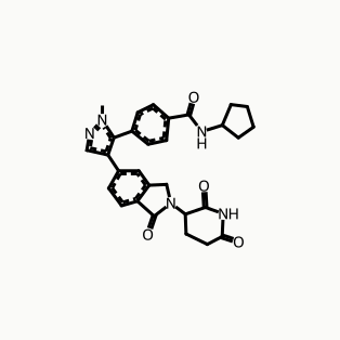 Cn1ncc(-c2ccc3c(c2)CN(C2CCC(=O)NC2=O)C3=O)c1-c1ccc(C(=O)NC2CCCC2)cc1